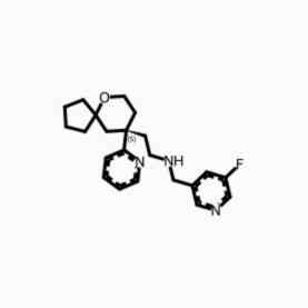 Fc1cncc(CNCC[C@]2(c3ccccn3)CCOC3(CCCC3)C2)c1